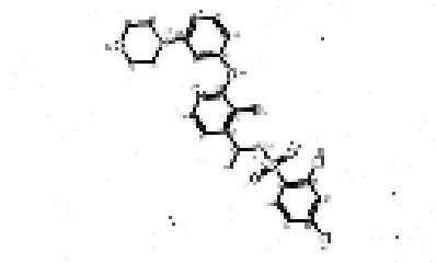 CCc1c(C(C)NS(=O)(=O)c2ccc(Cl)cc2Cl)ccnc1Oc1cccc(N2CCOCC2)c1